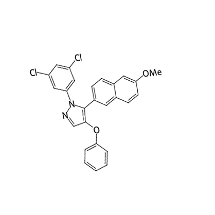 COc1ccc2cc(-c3c(Oc4ccccc4)cnn3-c3cc(Cl)cc(Cl)c3)ccc2c1